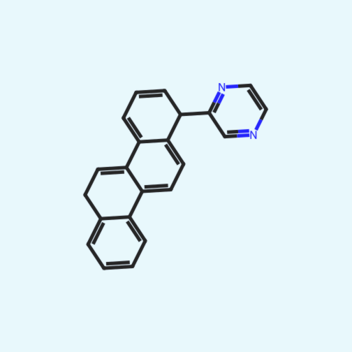 C1=CC(c2cnccn2)c2ccc3c(c2=C1)=CCc1ccccc1-3